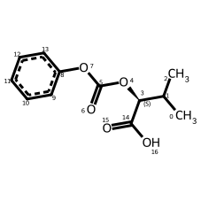 CC(C)[C@H](OC(=O)Oc1ccccc1)C(=O)O